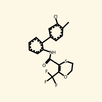 Cc1ccc(-c2ccccc2NC(=O)C2=C(C(F)(F)F)OCCS2)cc1Cl